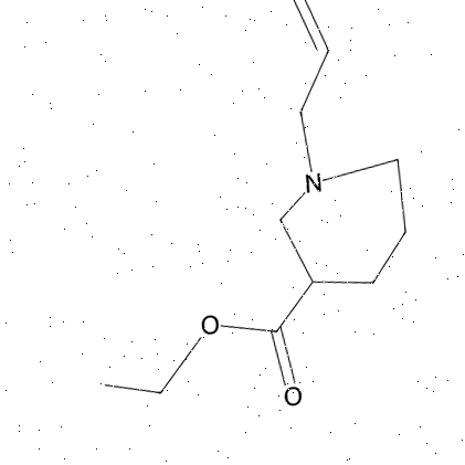 C=CCN1CCCC(C(=O)OCC)C1